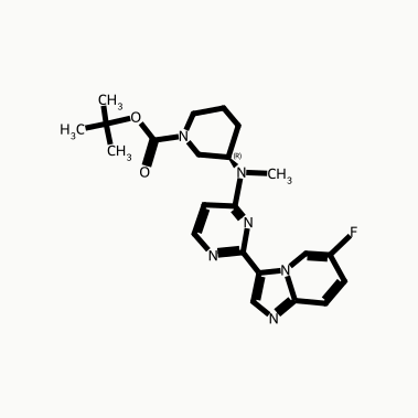 CN(c1ccnc(-c2cnc3ccc(F)cn23)n1)[C@@H]1CCCN(C(=O)OC(C)(C)C)C1